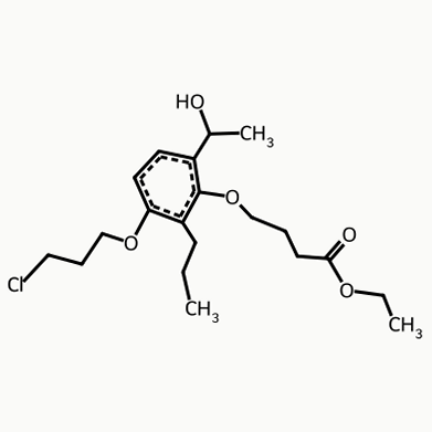 CCCc1c(OCCCCl)ccc(C(C)O)c1OCCCC(=O)OCC